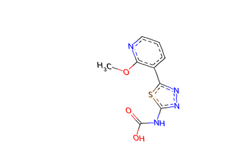 COc1ncccc1-c1nnc(NC(=O)O)s1